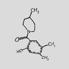 Cc1cc(O)c(C(=O)N2CCC(C)CC2)cc1C